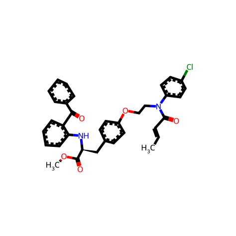 C/C=C/C(=O)N(CCOc1ccc(C[C@H](Nc2ccccc2C(=O)c2ccccc2)C(=O)OC)cc1)c1ccc(Cl)cc1